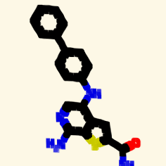 NC(=O)c1cc2c(Nc3ccc(-c4ccccc4)cc3)cnc(N)c2s1